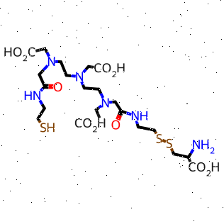 NC(CSSCCNC(=O)CN(CCN(CCN(CC(=O)O)CC(=O)NCCS)CC(=O)O)CC(=O)O)C(=O)O